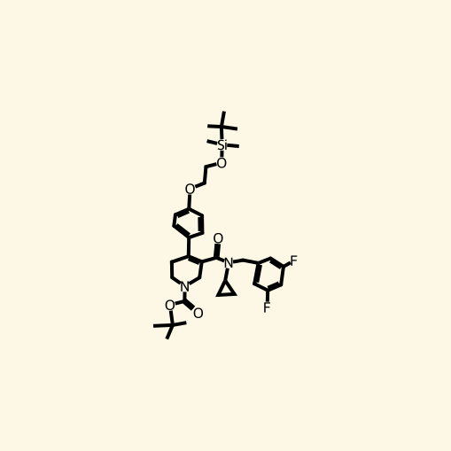 CC(C)(C)OC(=O)N1CCC(c2ccc(OCCO[Si](C)(C)C(C)(C)C)cc2)=C(C(=O)N(Cc2cc(F)cc(F)c2)C2CC2)C1